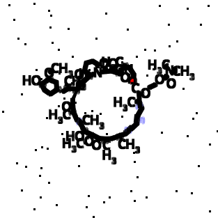 CO[C@@H]1C[C@H](C[C@@H](C)[C@@H]2CC(=O)[C@H](C)/C=C(\C)[C@@H](O)[C@@H](OC)C(=O)[C@H](C)C[C@H](C)/C=C/C=C/C=C(\C)[C@@H](OCCOC(=O)N(C)C)C[C@@H]3CC[C@@H](C)[C@@](O)(O3)C(=O)C(=O)N3CCCC[C@H]3C(=O)O2)CC[C@H]1O